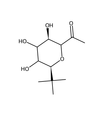 CC(=O)C1O[C@@H](C(C)(C)C)C(O)C(O)[C@H]1O